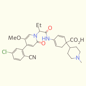 CCC(C(=O)NC1=CCC(C(=O)O)(C2CCN(C)CC2)C=C1)n1cc(OC)c(-c2cc(Cl)ccc2C#N)cc1=O